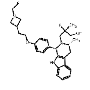 C[C@@H]1Cc2c([nH]c3ccccc23)[C@@H](c2ccc(OCCC3CN(CF)C3)cc2)N1C[C@](C)(F)CO